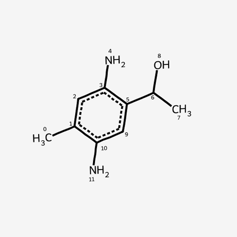 Cc1cc(N)c(C(C)O)cc1N